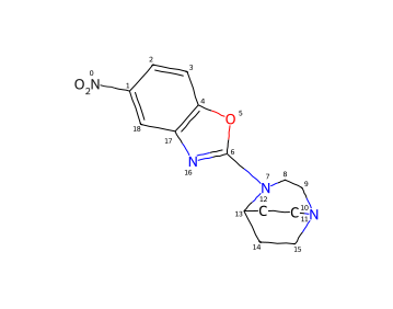 O=[N+]([O-])c1ccc2oc(N3CCN4CCC3CC4)nc2c1